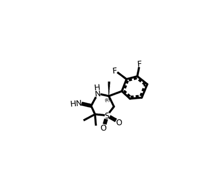 CC1(C)C(=N)N[C@](C)(c2cccc(F)c2F)CS1(=O)=O